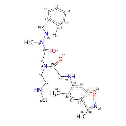 CCNCCN(CC(=O)N(C)N1Cc2ccccc2C1)C(=O)CNc1cc2onc(C)c2cc1C